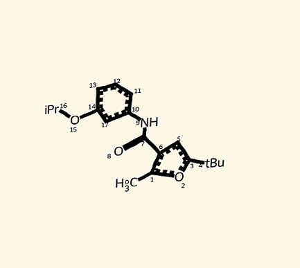 Cc1oc(C(C)(C)C)cc1C(=O)Nc1cccc(OC(C)C)c1